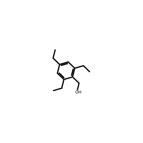 CCc1cc(CC)c(CO)c(CC)c1